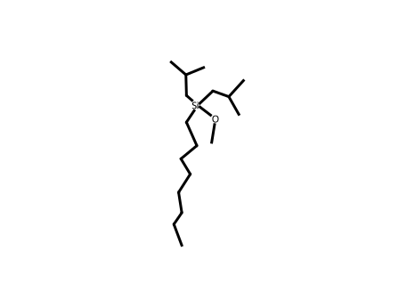 CCCCCCCC[Si](CC(C)C)(CC(C)C)OC